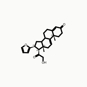 C[C@]12CCC(=O)C=C1CCC1C2=CC[C@@]2(C)C1C[C@H](c1ccco1)[C@@H]2C(=O)CO